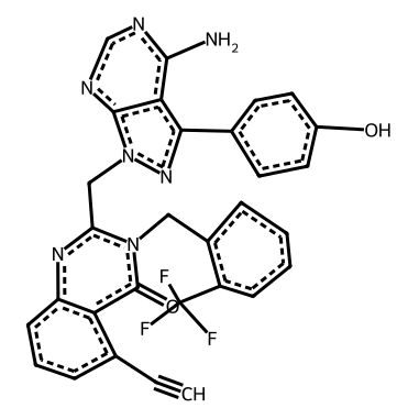 C#Cc1cccc2nc(Cn3nc(-c4ccc(O)cc4)c4c(N)ncnc43)n(Cc3ccccc3C(F)(F)F)c(=O)c12